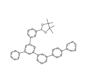 CC1(C)OC(c2cccc(-c3cc(-c4ccccc4)cc(-c4cccc(-c5ccc(-c6ccccc6)cc5)c4)c3)c2)OC1(C)C